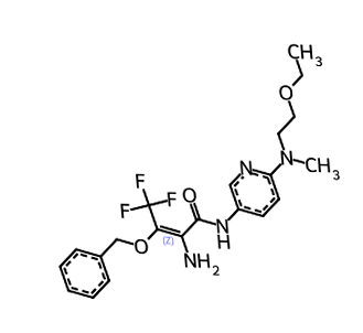 CCOCCN(C)c1ccc(NC(=O)/C(N)=C(/OCc2ccccc2)C(F)(F)F)cn1